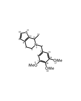 COc1cc(CN2CCc3ccsc3C2C)cc(OC)c1OC